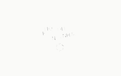 CC(=O)NC[C@@H]1[C@@H](O)[C@H](O)C(CF)N1Cc1ccccc1